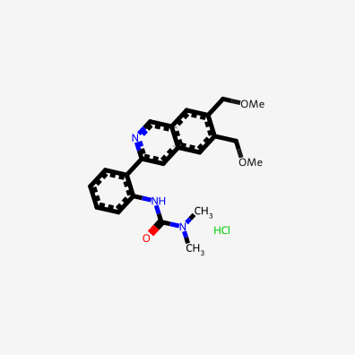 COCc1cc2cnc(-c3ccccc3NC(=O)N(C)C)cc2cc1COC.Cl